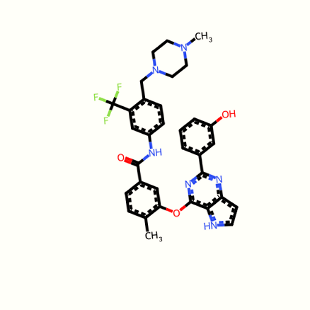 Cc1ccc(C(=O)Nc2ccc(CN3CCN(C)CC3)c(C(F)(F)F)c2)cc1Oc1nc(-c2cccc(O)c2)nc2cc[nH]c12